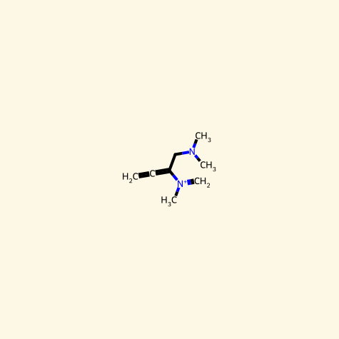 C=C=C(CN(C)C)[N+](=C)C